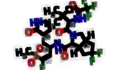 CC(C)(C)[C@@H](NC(=O)C(F)(F)F)C(=O)N1C[C@@H]2CC(F)(F)C[C@@H]2[C@H]1C(=O)N[C@@H](/C=C(/F)S(C)(=O)=O)C[C@H]1CCNC1=O